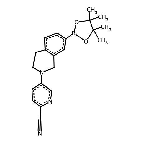 CC1(C)OB(c2ccc3c(c2)CN(c2ccc(C#N)nc2)CC3)OC1(C)C